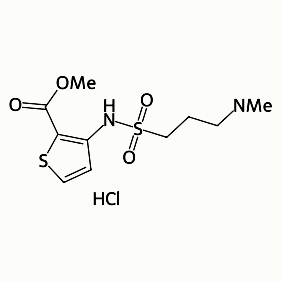 CNCCCS(=O)(=O)Nc1ccsc1C(=O)OC.Cl